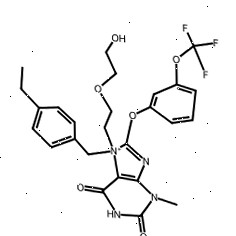 CCc1ccc(C[N+]2(CCOCCO)C(Oc3cccc(OC(F)(F)F)c3)=Nc3c2c(=O)[nH]c(=O)n3C)cc1